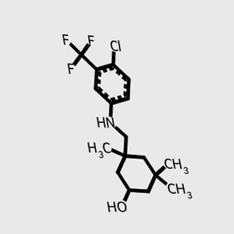 CC1(C)CC(O)CC(C)(CNc2ccc(Cl)c(C(F)(F)F)c2)C1